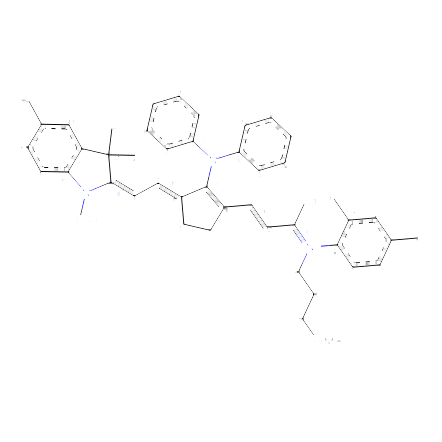 CCCCN1/C(=C/C=C2\CCC(/C=C/C(C(C)C)=[N+](\CCCOC)c3ccc(C)cc3C)=C2N(c2ccccc2)c2ccccc2)C(C)(C)c2cc(C)ccc21